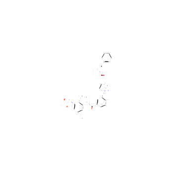 COc1c(NC(=O)c2ccc(C)c(-n3cc(OC(=O)NC(C)(C)c4ccccc4)nn3)c2)cc(C(C)(C)C)cc1NS(C)(=O)=O